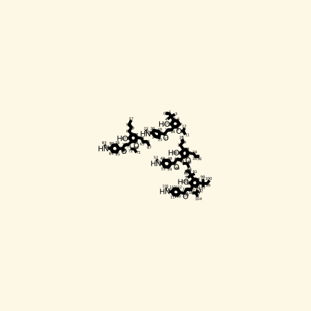 C=CC(C)(C)c1ccc(OC(C)C)c(C=CC(=O)c2ccc(NC)cc2)c1O.C=CCc1cc(CC=C)c(OC(C)C)c(C=CC(=O)c2ccc(NC)cc2)c1O.CC=CCc1cc(CC=CC)c(OC(C)C)c(C=CC(=O)c2ccc(NC)cc2)c1O.CCC(C)(C)c1cc(C(C)(C)CC)c(OC(C)C)c(C=CC(=O)c2ccc(NC)cc2)c1O